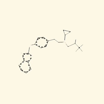 OC(CN(CCc1ccc(Oc2nc3ccccc3s2)cc1)C1CC1)C(F)(F)F